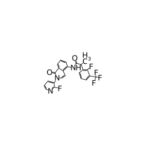 CC(C(=O)Nc1cccc2c(=O)n(-c3cccnc3F)ccc12)c1cccc(C(F)(F)F)c1F